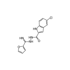 N=C(NNC(=O)c1cc2cc(Cl)ccc2[nH]1)c1ccco1